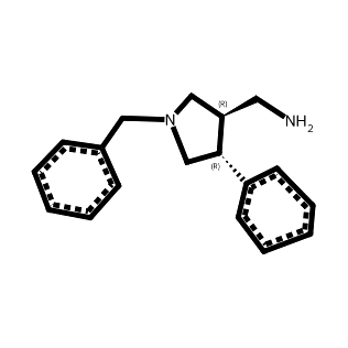 NC[C@@H]1CN(Cc2ccccc2)C[C@H]1c1ccccc1